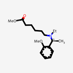 CCN(CCCCCC(=O)OC)[C@@H](C)c1ccccc1OC